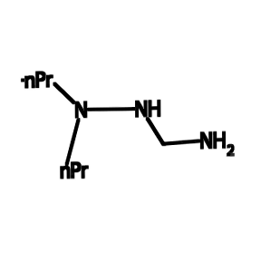 CC[CH]N(CCC)NCN